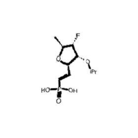 CC(C)O[C@H]1[C@@H](F)[C@H](C)O[C@@H]1/C=C/P(=O)(O)O